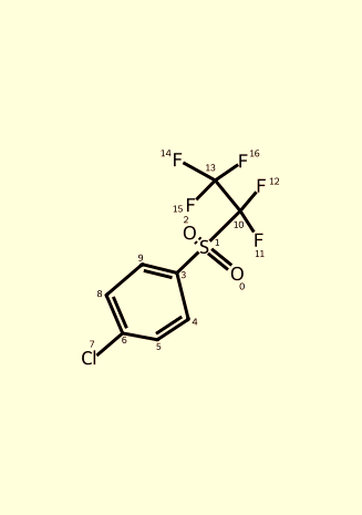 O=S(=O)(c1ccc(Cl)cc1)C(F)(F)C(F)(F)F